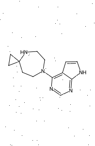 c1nc(N2CCNC3(CC2)CC3)c2cc[nH]c2n1